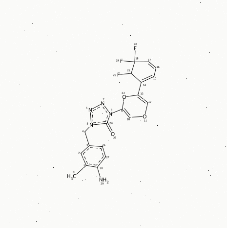 Cc1cc(Cn2nnn(C3=COC=C(C4=CC=CC(F)(F)C4F)O3)c2=O)ccc1N